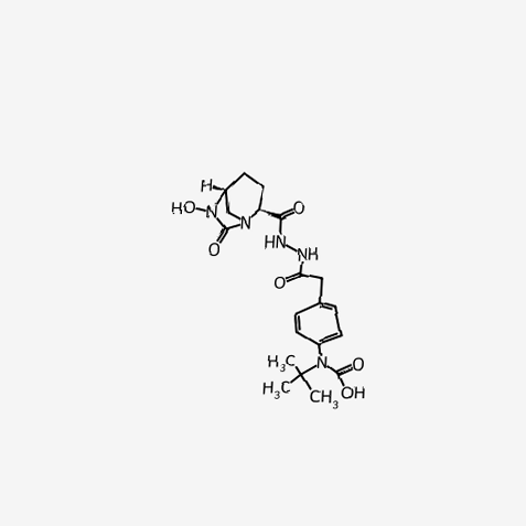 CC(C)(C)N(C(=O)O)c1ccc(CC(=O)NNC(=O)[C@@H]2CC[C@@H]3CN2C(=O)N3O)cc1